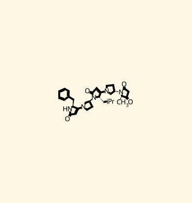 CC(C)C[C@H]1C(N2CC[C@H](N3C(=O)CC(=O)[C@@H]3C)C2)=CC(=O)N1[C@H]1CCN(C2=CC(=O)N[C@H]2Cc2ccccc2)C1